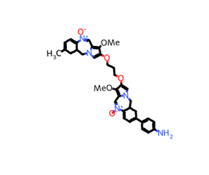 COc1c(OCCCOc2cn3c(c2OC)C=[N+]([O-])C2=CC=C(c4ccc(N)cc4)CC2C3)cn2c1C=[N+]([O-])C1=CC=C(C)CC1C2